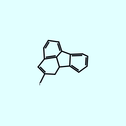 IC1=Cc2cccc3c2C(C1)c1ccccc1-3